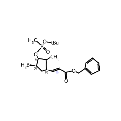 B[C@@H]1C[C@H](/C=C/C(=O)OCc2ccccc2)C(C)[C@@H]1OP(C)(=O)OC(C)(C)C